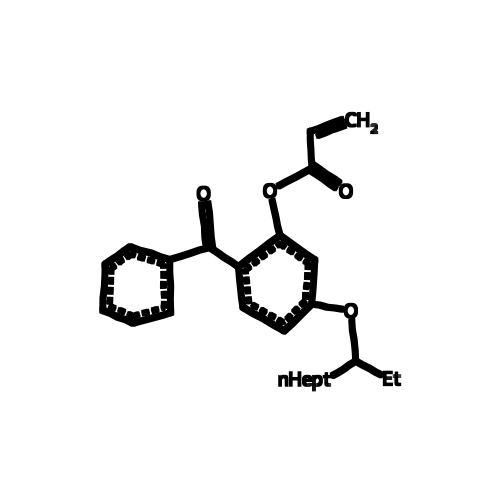 C=CC(=O)Oc1cc(OC(CC)CCCCCCC)ccc1C(=O)c1ccccc1